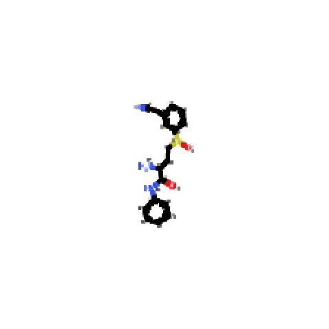 N#Cc1cccc([S+]([O-])CCC(N)C(=O)Nc2ccccc2)c1